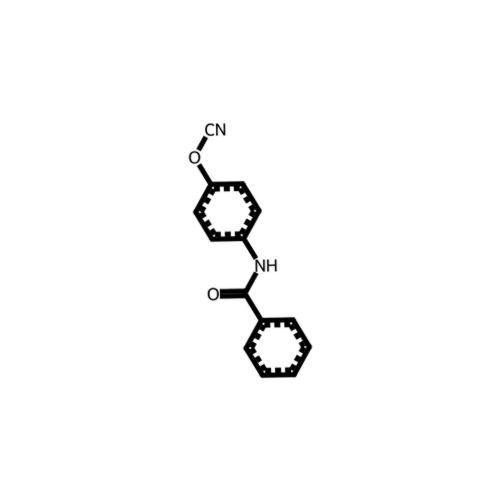 N#COc1ccc(NC(=O)c2ccccc2)cc1